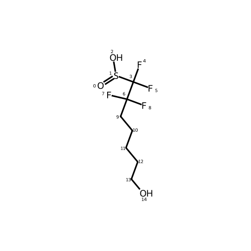 O=S(O)C(F)(F)C(F)(F)CCCCCO